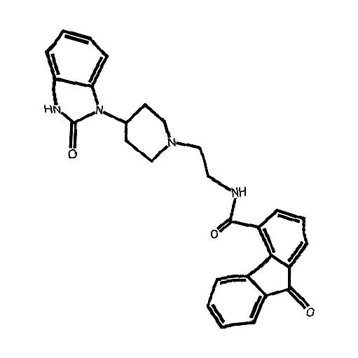 O=C(NCCN1CCC(n2c(=O)[nH]c3ccccc32)CC1)c1cccc2c1-c1ccccc1C2=O